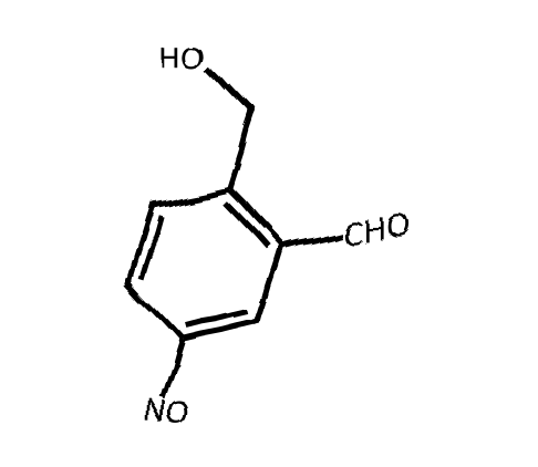 O=Cc1cc(N=O)ccc1CO